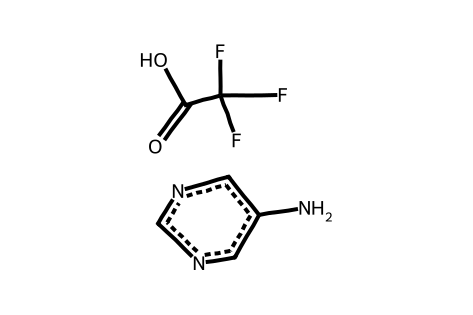 Nc1cncnc1.O=C(O)C(F)(F)F